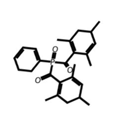 CC1=CC(C)CC(C)=C1C(=O)P(=O)(C(=O)C1=C(C)CC(C)C=C1C)C1=CC=CCC1